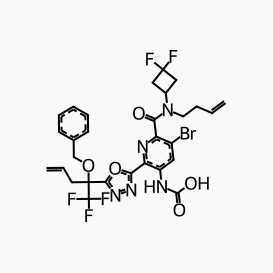 C=CCCN(C(=O)c1nc(-c2nnc(C(CC=C)(OCc3ccccc3)C(F)(F)F)o2)c(NC(=O)O)cc1Br)C1CC(F)(F)C1